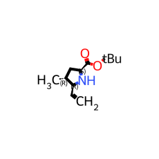 C=C[C@@H]1N[C@H](C(=O)OC(C)(C)C)C[C@H]1C